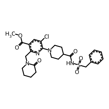 COC(=O)c1cc(Cl)c(N2CCC(C(=O)NS(=O)(=O)Cc3ccccc3)CC2)nc1CN1CCCCC1=O